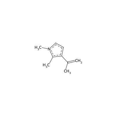 C=C(C)c1ccn(C)c1C